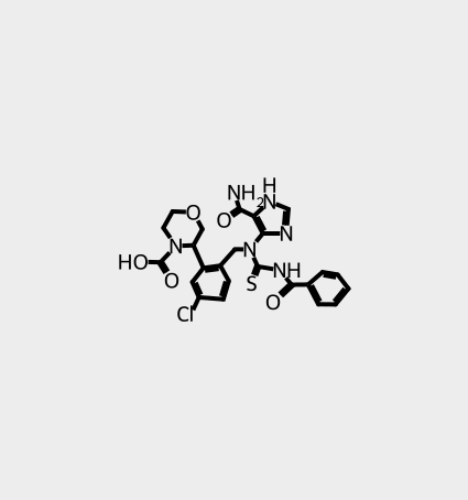 NC(=O)c1[nH]cnc1N(Cc1ccc(Cl)cc1C1COCCN1C(=O)O)C(=S)NC(=O)c1ccccc1